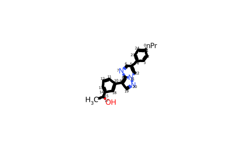 CCCc1ccc(-c2cnc3c(-c4cccc(C(C)O)c4)cnn3c2)cc1